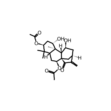 C=C1C(=O)[C@]23C[C@H]1C[C@H](O)[C@H]2[C@@]1(C)[C@H](C[C@@H]3OC(C)=O)C(C)(C)[C@@H](OC(C)=O)C[C@@H]1O